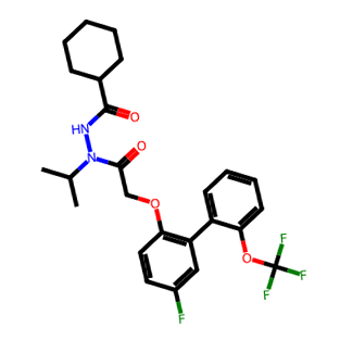 CC(C)N(NC(=O)C1CCCCC1)C(=O)COc1ccc(F)cc1-c1ccccc1OC(F)(F)F